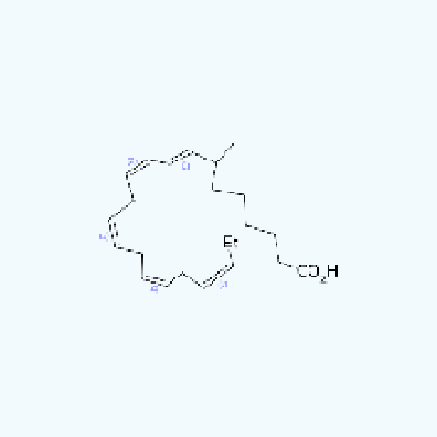 CC/C=C\C/C=C\C/C=C\C/C=C\C=C\C(C)CCCCCC(=O)O